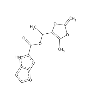 C=C1OC(C)=C(C(C)OC(=O)c2cc3occc3[nH]2)O1